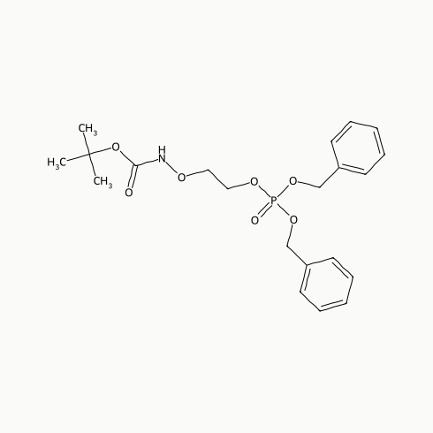 CC(C)(C)OC(=O)NOCCOP(=O)(OCc1ccccc1)OCc1ccccc1